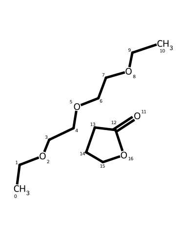 CCOCCOCCOCC.O=C1CCCO1